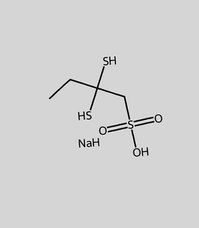 CCC(S)(S)CS(=O)(=O)O.[NaH]